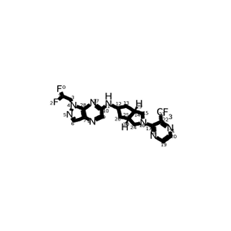 FC(F)Cn1ncc2ncc(NC3C[C@@H]4CN(c5nccnc5C(F)(F)F)C[C@@H]4C3)nc21